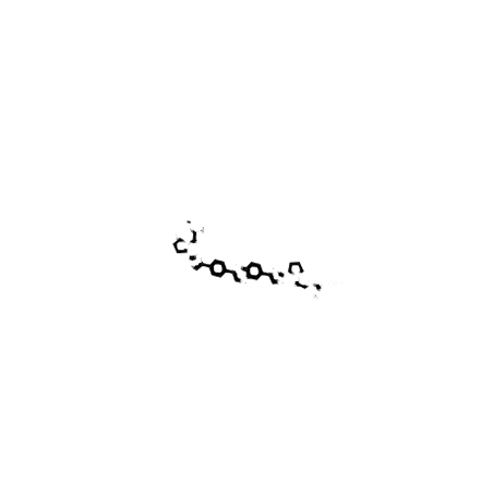 COC(=O)N[C@@H](C(=O)N1CCC[C@H]1c1ncc(-c2ccc3nc(-c4ccc(-c5c[nH]c([C@@H]6CCCN6C(=O)[C@H](C(C)C)N(C)C(=O)O)n5)cc4)cnc3c2)[nH]1)C(C)(C)C